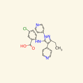 CCc1nn(-c2ccncc2)c(Nc2ccc(Cl)cc2C(=O)O)c1-c1ccncc1